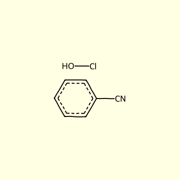 N#Cc1ccccc1.OCl